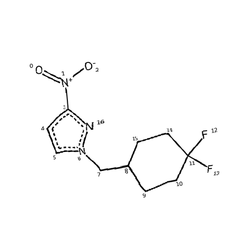 O=[N+]([O-])c1ccn(CC2CCC(F)(F)CC2)n1